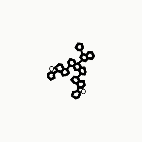 c1ccc(-c2cc(-c3c4cccc(-c5cccc6c5ccc5oc7ccccc7c56)c4cc4c(-c5cccc6c5ccc5oc7ccccc7c56)cccc34)cc3ccccc23)cc1